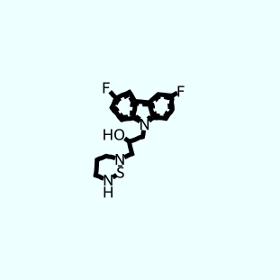 OC(CN1CCCNS1)Cn1c2ccc(F)cc2c2cc(F)ccc21